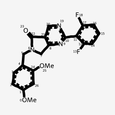 COc1ccc(CN2Cc3nc(-c4c(F)cccc4F)ncc3C2=O)c(OC)c1